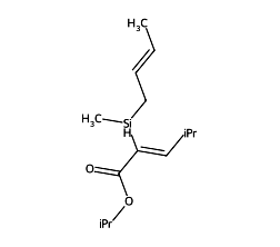 CC=CC[SiH](C)C(=CC(C)C)C(=O)OC(C)C